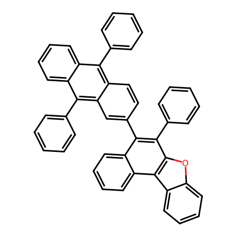 c1ccc(-c2c3ccccc3c(-c3ccccc3)c3cc(-c4c(-c5ccccc5)c5oc6ccccc6c5c5ccccc45)ccc23)cc1